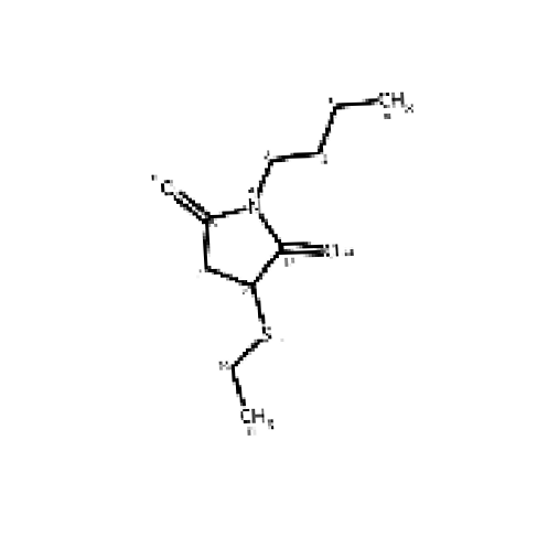 CCCCN1C(=O)CC(SCC)C1=O